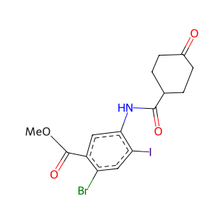 COC(=O)c1cc(NC(=O)C2CCC(=O)CC2)c(I)cc1Br